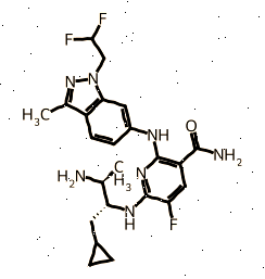 Cc1nn(CC(F)F)c2cc(Nc3nc(N[C@H](CC4CC4)[C@H](C)N)c(F)cc3C(N)=O)ccc12